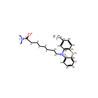 CN(C)C(=O)CCCCCCCN1c2ccccc2Sc2ccc(C(F)(F)F)cc21